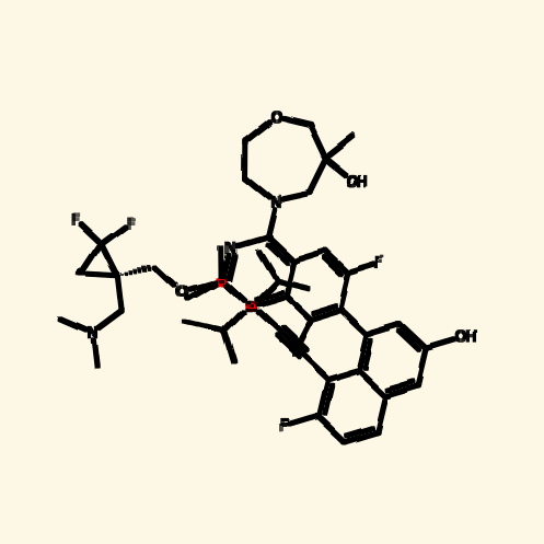 CC(C)[Si](C#Cc1c(F)ccc2cc(O)cc(-c3c(F)cc4c(N5CCOCC(C)(O)C5)nc(OC[C@]5(CN(C)C)CC5(F)F)nc4c3F)c12)(C(C)C)C(C)C